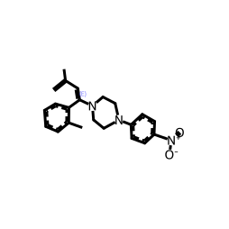 C=C(C)/C=C(\c1ccccc1C)N1CCN(c2ccc([N+](=O)[O-])cc2)CC1